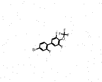 Fc1cc(Br)ccc1-c1cc(F)c(OC(F)(F)F)c(F)c1